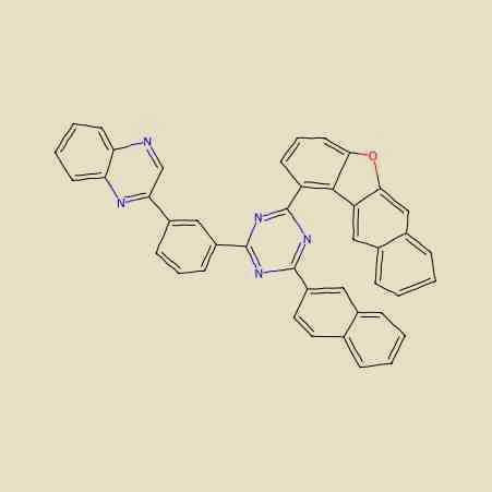 c1cc(-c2cnc3ccccc3n2)cc(-c2nc(-c3ccc4ccccc4c3)nc(-c3cccc4oc5cc6ccccc6cc5c34)n2)c1